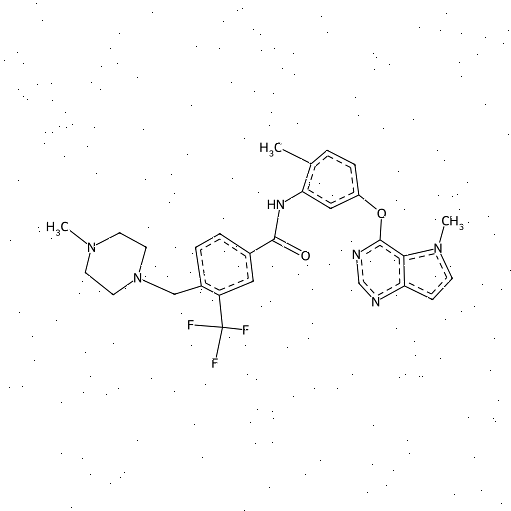 Cc1ccc(Oc2ncnc3ccn(C)c23)cc1NC(=O)c1ccc(CN2CCN(C)CC2)c(C(F)(F)F)c1